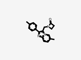 Cc1ccc(-c2nc3ccc(C)cn3c2CN2CCC2=O)cc1